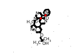 COc1cncc(C(=O)N2C3CC2CN(c2ccc(-c4cc(OCC(C)(C)O)cn5ncc(C#N)c45)cn2)C3)c1